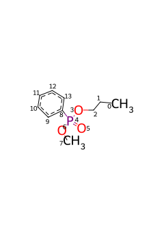 CCCOP(=O)(OC)c1ccccc1